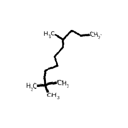 [CH2]CCC(C)CCCCC(C)(C)C